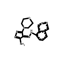 NC1=NN=C(N2CCOCC2)/C1=N\Nc1cccc2cnncc12